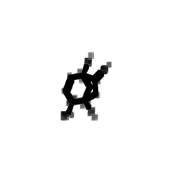 O=C1C[C@H]2C[C@@H]1C=C[C@@H]2Br